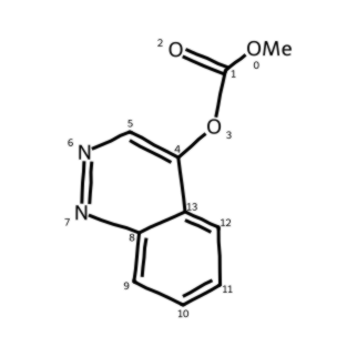 COC(=O)Oc1cnnc2ccccc12